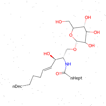 CCCCCCCCCCCCC/C=C/[C@@H](O)[C@H](CO[C@@H]1OC(CO)[C@H](O)C(O)C1O)NC(=O)CCCCCCC